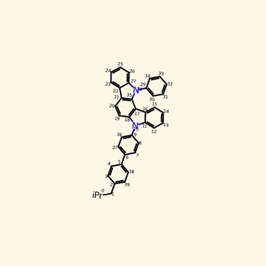 CC(C)Cc1ccc(-c2ccc(-n3c4ccccc4c4c3ccc3c5ccccc5n(-c5ccccc5)c34)cc2)cc1